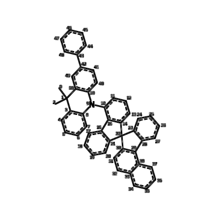 CC1(C)c2ccccc2N(c2cccc3c2-c2ccccc2C32c3ccccc3-c3c2ccc2ccccc32)c2ccc(-c3ccccc3)cc21